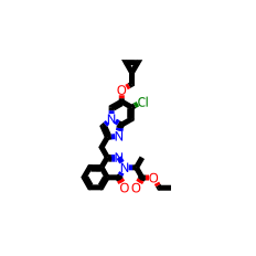 CCOC(=O)C(C)n1nc(Cc2cn3cc(OCC4CC4)c(Cl)cc3n2)c2ccccc2c1=O